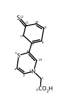 O=C(O)CN1C=CSC(C2=CC=CC(=S)C2)=C1